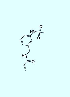 C=CC(=O)NCc1cccc(NS(C)(=O)=O)c1